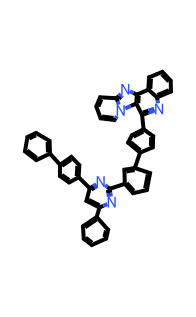 c1ccc(-c2ccc(-c3cc(-c4ccccc4)nc(-c4cccc(-c5ccc(-c6nc7ccccc7c7nc8ccccn8c67)cc5)c4)n3)cc2)cc1